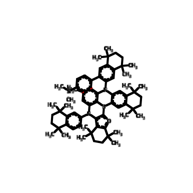 Cc1cc2c3c(c1)N(c1ccc4c(c1)C(C)(C)CCC4(C)C)c1c(oc4c1C(C)(C)CCC4(C)C)B3c1cc3c(cc1N2c1cc2c(cc1-c1ccc([SiH](C)C)cc1)C(C)(C)CCC2(C)C)C(C)(C)CCC3(C)C